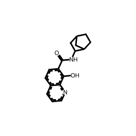 O=C(NC1CC2CCC1C2)c1ccc2cccnc2c1O